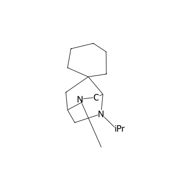 CC(C)N1CC2CN(C)CC1C1(CCCCC1)C2